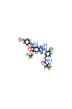 Cn1c(Nc2cc(CNC(=O)C(C)(C)C(F)(F)F)ccc2Cl)nc2cc(C(=O)Nc3ccc(Br)cc3)c(OCC(F)F)cc21